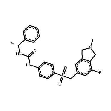 C[C@@H](NC(=O)Nc1ccc(S(=O)(=O)Cc2cc(F)c3c(c2)CN(C)C3)cc1)c1ccccc1